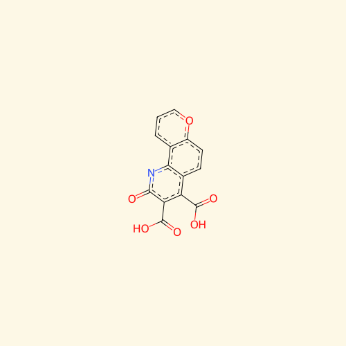 O=C(O)c1c(C(=O)O)c2ccc3occcc3c2nc1=O